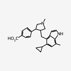 Cc1cc(C2CC2)c(CC2CN(C)CC2c2ccc(C(=O)O)cc2)c2cc[nH]c12